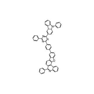 C1=CC2C(C=C1c1nc(-c3ccccc3)nc(-c3ccc(-c4ccc5oc6c(ccc7c(-c8ccccc8)nc8ccccc8c76)c5c4)cc3)n1)c1ccccc1N2c1ccccc1